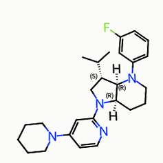 CC(C)[C@H]1CN(c2cc(N3CCCCC3)ccn2)[C@@H]2CCCN(c3cccc(F)c3)[C@H]12